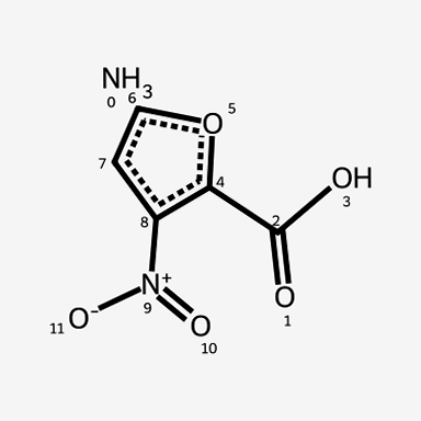 N.O=C(O)c1occc1[N+](=O)[O-]